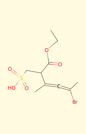 CCOC(=O)C(CS(=O)(=O)O)C(C)=C=C(C)Br